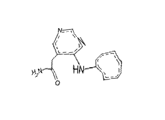 NC(=O)c1cncnc1Nc1ccccc1